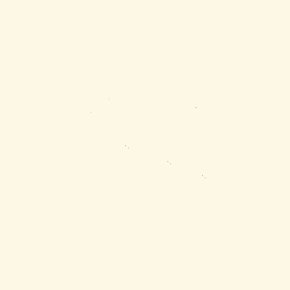 CC(C)(C)OC(=O)N1CC(Nc2cc(Br)c(F)cc2[N+](=O)[O-])C1